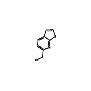 [O]Cc1ccc2ccsc2n1